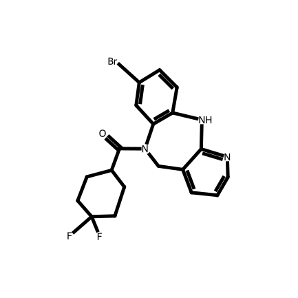 O=C(C1CCC(F)(F)CC1)N1Cc2cccnc2Nc2ccc(Br)cc21